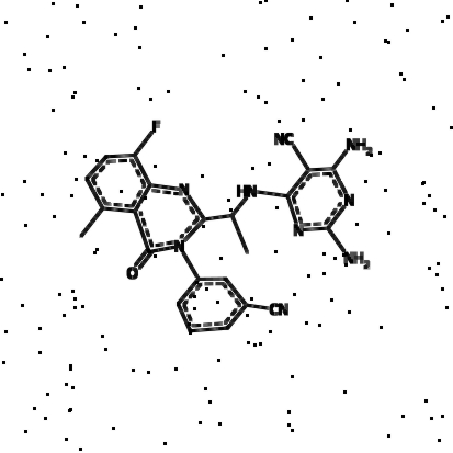 Cc1ccc(F)c2nc(C(C)Nc3nc(N)nc(N)c3C#N)n(-c3cccc(C#N)c3)c(=O)c12